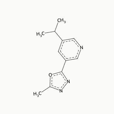 Cc1nnc(-c2cncc(C(C)C)c2)o1